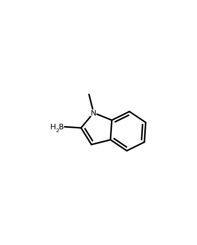 Bc1cc2ccccc2n1C